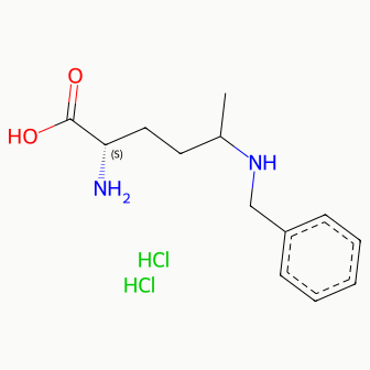 CC(CC[C@H](N)C(=O)O)NCc1ccccc1.Cl.Cl